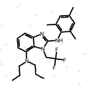 CCCN(CCC)c1cccc2nc(Nc3c(C)cc(C)cc3C)n(CC(F)(F)F)c12